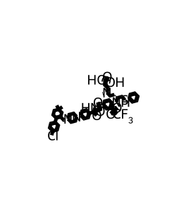 CN(CC[C@H](CSc1ccccc1)Nc1ccc(S(=O)(=O)NC(=O)c2ccc(N3CCN(CC4=C(c5ccc(Cl)cc5)CCC(C)(C)C4)CC3)cc2)cc1S(=O)(=O)C(F)(F)F)CCP(=O)(O)O